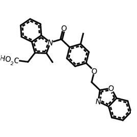 Cc1cc(OCc2nc3ccccc3o2)ccc1C(=O)n1c(C)c(CC(=O)O)c2ccccc21